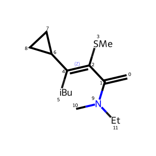 C=C(/C(SC)=C(\C(C)CC)C1CC1)N(C)CC